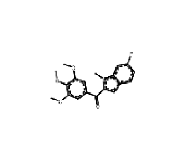 COc1cc(C(=O)c2cc3ccc(F)cc3n2C)cc(OC)c1OC